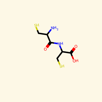 NC(CS)C(=O)NC(CS)C(=O)O